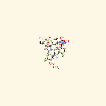 CCOc1cc([C@H](Nc2cc(C(N)=O)ccc2F)C(=O)N2CCC[C@@H]2c2cc(NC(=O)O)ccc2S(=O)(=O)C(C)C)ccc1F